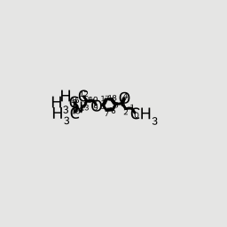 CCCC(=O)c1ccc(OCC(C)CN(C)C)cc1